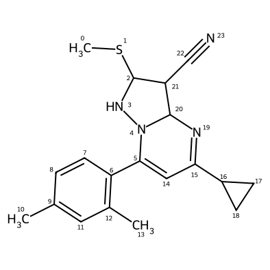 CSC1NN2C(c3ccc(C)cc3C)=CC(C3CC3)=NC2C1C#N